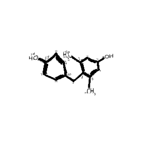 Cc1cc(O)cc(C)c1Cc1ccc(O)cc1